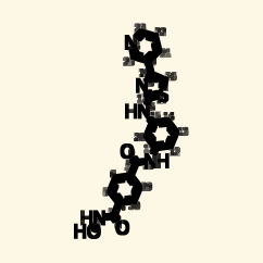 O=C(NO)c1ccc(C(=O)Nc2cccc(Nc3nc(-c4cccnc4)cs3)c2)cc1